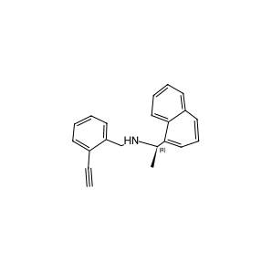 C#Cc1ccccc1CN[C@H](C)c1cccc2ccccc12